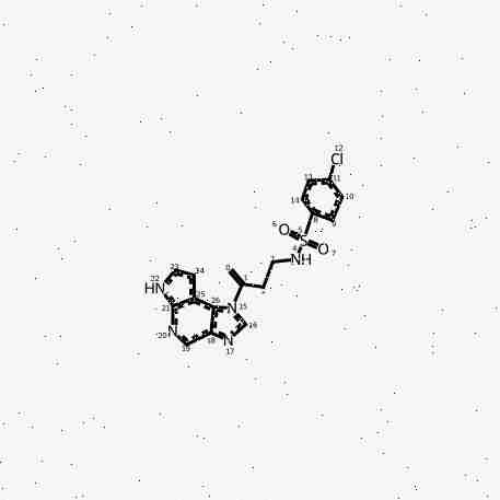 C=C(CCNS(=O)(=O)c1ccc(Cl)cc1)n1cnc2cnc3[nH]ccc3c21